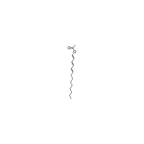 CCCCCCCCC=CC=CC=COC(C)=O